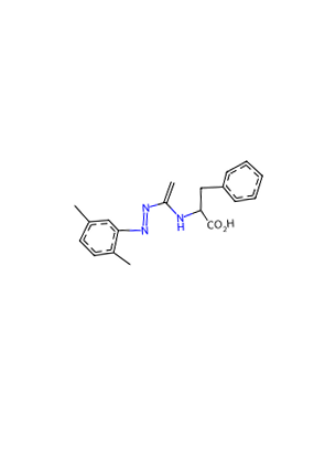 C=C(/N=N/c1cc(C)ccc1C)NC(Cc1ccccc1)C(=O)O